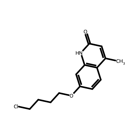 Cc1cc(=O)[nH]c2cc(OCCCCCl)ccc12